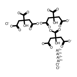 O=C([O-])CC(O)(CC(=O)[O-])C(=O)[O-].O=C([O-])CC(O)(CC(=O)[O-])C(=O)[O-].O=C([O-])CC(O)(CC(=O)[O-])C(=O)[O-].[Al+3].[Al+3].[Al+3].[Al+3].[Cl-].[Cl-].[Cl-]